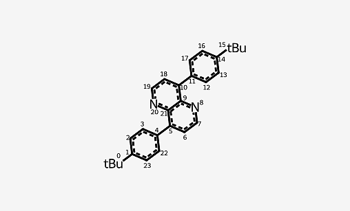 CC(C)(C)c1ccc(-c2ccnc3c(-c4ccc(C(C)(C)C)cc4)ccnc23)cc1